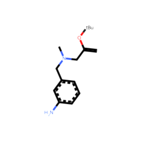 C=C(CN(C)Cc1cccc(N)c1)OC(C)(C)C